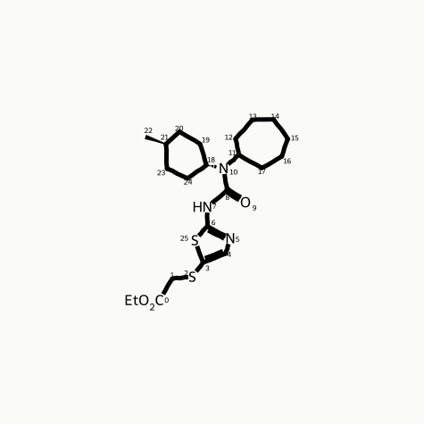 CCOC(=O)CSc1cnc(NC(=O)N(C2CCCCCC2)[C@H]2CC[C@H](C)CC2)s1